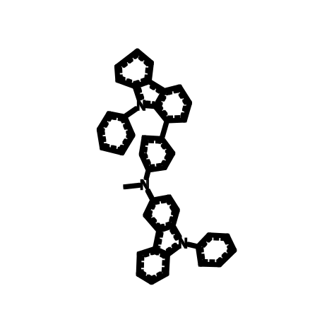 CN(c1ccc(-c2cccc3c4ccccc4n(-c4ccccc4)c23)cc1)c1ccc2c(c1)c1ccccc1n2-c1ccccc1